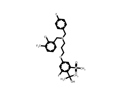 CC(C)(O)c1c(F)cc(OCCCN(Cc2ccc(F)cc2)Cc2cccc(C(F)(F)F)c2Cl)cc1S(C)(=O)=O